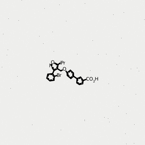 CC(C)c1onc(-c2ccccc2Br)c1COc1ccc(-c2cccc(C(=O)O)c2)cc1